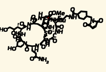 CC[C@H](C)[C@H]1NC(=O)CNC(=O)[C@@H]2Cc3c([nH]c4c(CSCCNC(=O)C5CCC(CN6C(=O)C=CC6=O)CC5)c(OC)ccc34)[S+]([O-])C[C@H](NC(=O)CNC1=O)C(=O)N[C@@H](CCC(N)=O)C(=O)N1C[C@H](O)C[C@@H]1C(=O)N[C@@H]([C@@H](C)[C@@H](O)CO)C(=O)N2